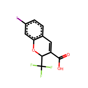 O=C(O)C1=Cc2ccc(I)cc2OC1C(F)(F)F